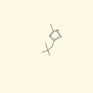 Cc1cc(CC(C)(C)C)sn1